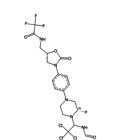 O=CNC(N1CCN(c2ccc(N3CC(CNC(=O)C(F)(F)F)OC3=O)cc2)C[C@@H]1F)C(Cl)(Cl)Cl